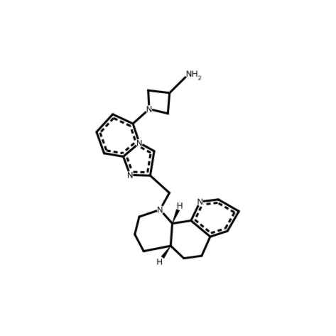 NC1CN(c2cccc3nc(CN4CCC[C@H]5CCc6cccnc6[C@H]54)cn23)C1